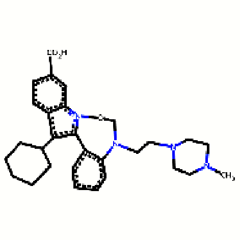 CN1CCN(CCN2CCn3c(c(C4CCCCC4)c4ccc(C(=O)O)cc43)-c3ccccc32)CC1